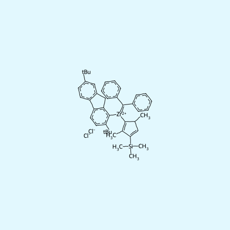 CC1=[C]([Zr+2](=[C](c2ccccc2)c2ccccc2)[c]2c(C(C)(C)C)ccc3c2Cc2cc(C(C)(C)C)ccc2-3)C(C)C=C1[Si](C)(C)C.[Cl-].[Cl-]